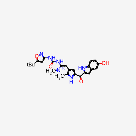 C=N/C(=C\c1cc(C(=O)c2cc3cc(O)ccc3[nH]2)[nH]c1C)NC(=O)Nc1cc(C(C)(C)C)on1